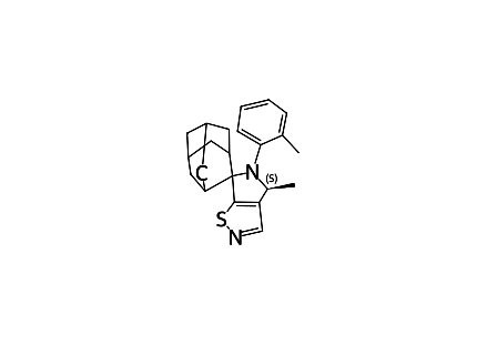 Cc1ccccc1N1[C@@H](C)c2cnsc2C12C1CC3CC(C1)CC2C3